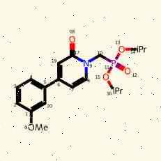 COc1cccc(-c2ccn(CP(=O)(OC(C)C)OC(C)C)c(=O)c2)c1